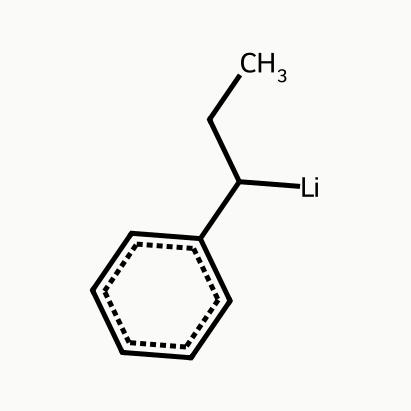 [Li][CH](CC)c1ccccc1